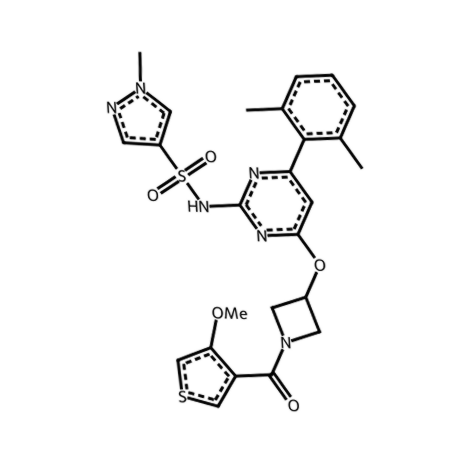 COc1cscc1C(=O)N1CC(Oc2cc(-c3c(C)cccc3C)nc(NS(=O)(=O)c3cnn(C)c3)n2)C1